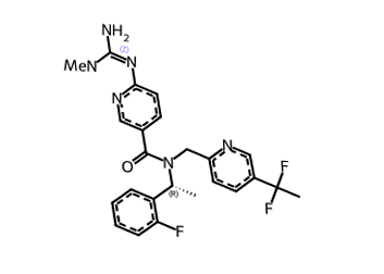 CN/C(N)=N\c1ccc(C(=O)N(Cc2ccc(C(C)(F)F)cn2)[C@H](C)c2ccccc2F)cn1